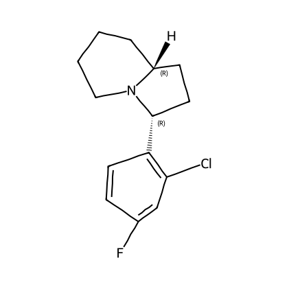 Fc1ccc([C@H]2CC[C@H]3CCCCN32)c(Cl)c1